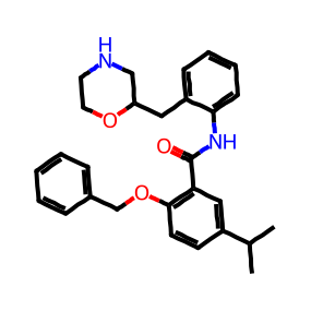 CC(C)c1ccc(OCc2ccccc2)c(C(=O)Nc2ccccc2CC2CNCCO2)c1